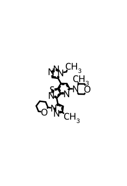 CCn1nncc1-c1cc(N2CCOCC2C)nc2c(-c3cc(C)nn3C3CCCCO3)nsc12